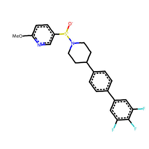 COc1ccc([S+]([O-])N2CCC(c3ccc(-c4cc(F)c(F)c(F)c4)cc3)CC2)cn1